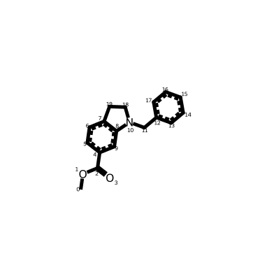 COC(=O)c1ccc2c(c1)N(Cc1ccccc1)CC2